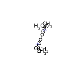 C=C(C)C(=O)S/C=C\Oc1ccc(-c2ccc(O/C=C\SC(=O)C(=C)C)cc2)cc1